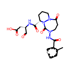 Cc1ccccc1C(=O)NN1CCC(=O)N2CCC[C@@H](C(=O)N[C@H](C=O)CC(=O)O)N2C1=O